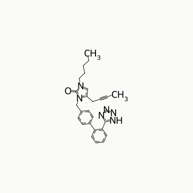 CC#CCc1cn(CCCCC)c(=O)n1Cc1ccc(-c2ccccc2-c2nnn[nH]2)cc1